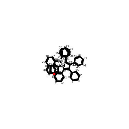 c1ccc(C2=C(c3ccccc3)[Si](c3ccccc3)(N(c3ccccc3)c3cccc4ccccc34)C(c3ccccc3)=C2c2ccccc2)cc1